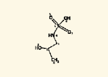 CC(O)CNS(=O)(=O)O